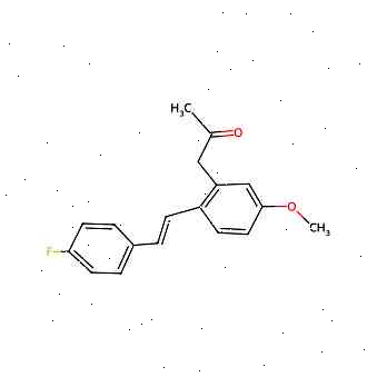 COc1ccc(/C=C/c2ccc(F)cc2)c(CC(C)=O)c1